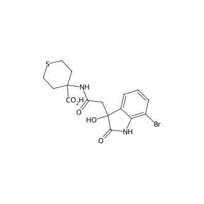 O=C(CC1(O)C(=O)Nc2c(Br)cccc21)NC1(C(=O)O)CCSCC1